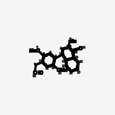 CCCCn1cc(-c2cc(OC)c(CC=O)cc2OC)c2ccncc2c1=O